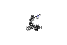 C/C=C/C(=O)CCC(=O)N1CCN(Cc2cc3nc(-c4ccnc5[nH]ncc45)nc(N4CCOCC4)c3s2)CC1